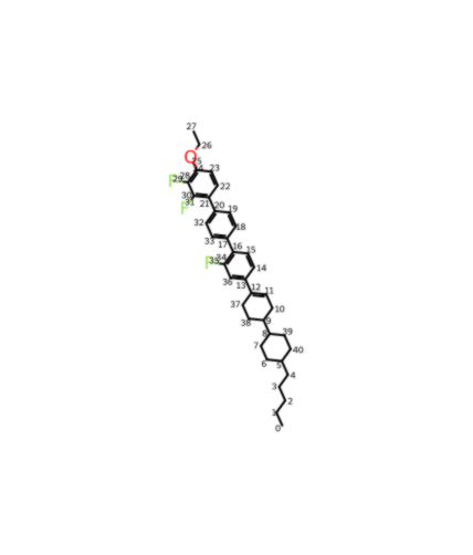 CCCCCC1CCC(C2CC=C(c3ccc(-c4ccc(-c5ccc(OCC)c(F)c5F)cc4)c(F)c3)CC2)CC1